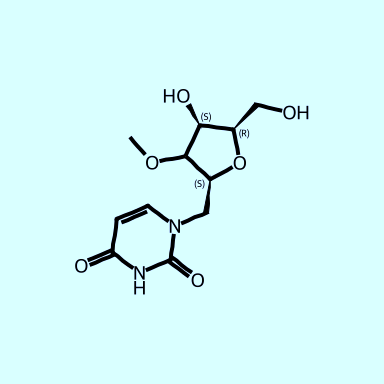 COC1[C@H](Cn2ccc(=O)[nH]c2=O)O[C@H](CO)[C@@H]1O